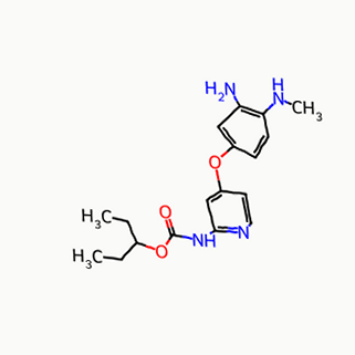 CCC(CC)OC(=O)Nc1cc(Oc2ccc(NC)c(N)c2)ccn1